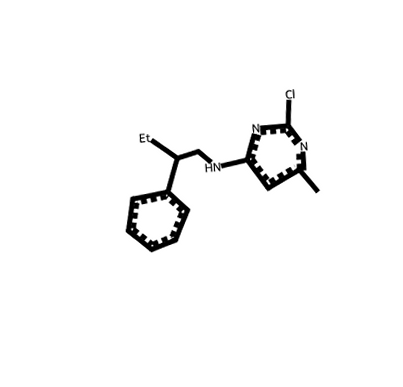 CCC(CNc1cc(C)nc(Cl)n1)c1ccccc1